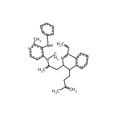 C=CC1=NC(CC(=C)N(C)c2ccnc(C)c2Nc2ccccc2)C(CCC(=C)C)c2ccccc21